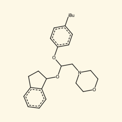 CCC(C)c1ccc(OC(CN2CCOCC2)OC2CCc3ccccc32)cc1